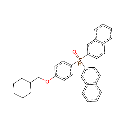 O=[SH](c1ccc(OCC2CCCCC2)cc1)(c1ccc2ccccc2c1)c1ccc2ccccc2c1